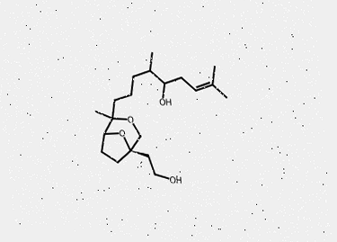 CC(C)=CCC(O)C(C)CCCC1(C)OC[C@]2(CCO)CCC1O2